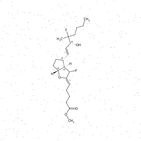 CCCCC(C)(F)[C@H](O)/C=C/[C@H]1CC[C@H]2O/C(=C\CCCC(=O)OC)C(F)[C@H]12